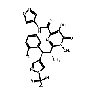 [2H]C([2H])([2H])n1cc([C@@H](c2ccccc2C#N)[C@@H](C)c2nc(C(=O)Nc3cnoc3)c(O)c(=O)n2C)cn1